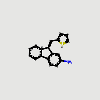 Nc1ccc2c(c1)C(=Cc1cccs1)c1ccccc1-2